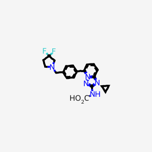 C1CC1.O=C(O)Nc1nc2cccc(-c3ccc(CN4CCC(F)(F)C4)cc3)n2n1